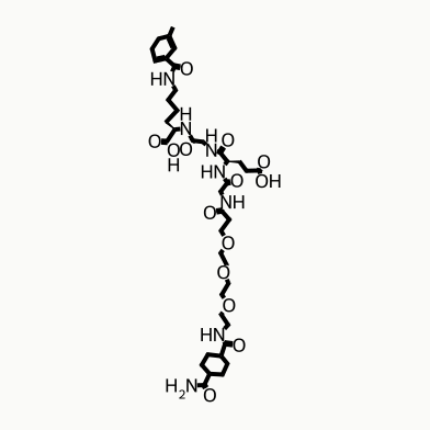 CC1=CC(C(=O)NCCCC[C@@H](NC(=O)CNC(=O)[C@@H](CCC(=O)O)NC(=O)CNC(=O)CCOCCOCCOCCNC(=O)C2CCC(C(N)=O)CC2)C(=O)O)=CCC1